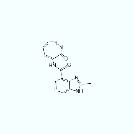 Cc1nc2c(C(=O)Nc3ccccnc3=O)cccc2[nH]1